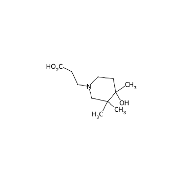 CC1(C)CN(CCC(=O)O)CCC1(C)O